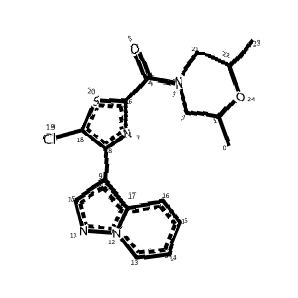 CC1CN(C(=O)c2nc(-c3cnn4ccccc34)c(Cl)s2)CC(C)O1